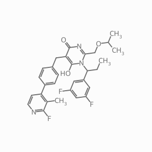 CCC(c1cc(F)cc(F)c1)n1c(COC(C)C)nc(=O)c(Cc2ccc(-c3ccnc(F)c3C)cc2)c1O